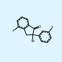 O=C1c2cccc(F)c2CC1(Br)c1cccc(F)c1